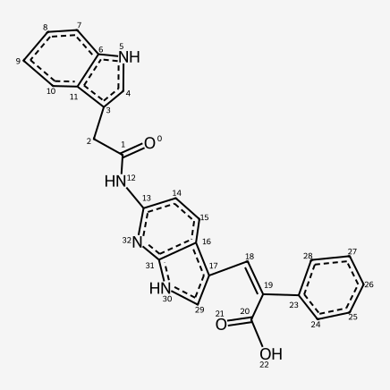 O=C(Cc1c[nH]c2ccccc12)Nc1ccc2c(C=C(C(=O)O)c3ccccc3)c[nH]c2n1